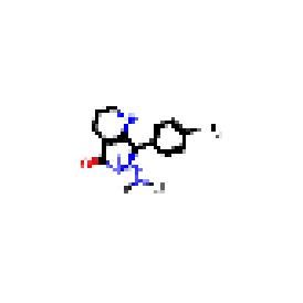 CCNCC.Cc1ccc(-c2n[nH]c(=O)c3c2NCCC3)cc1